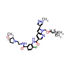 CO[C@H]1CCN(CCNC(=O)c2ccc(F)c(NC(=O)c3cnc4c(c3)cc(-c3cnn(C)c3)n4COCC[Si](C)(C)C)c2)C1